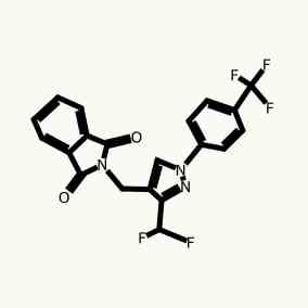 O=C1c2ccccc2C(=O)N1Cc1cn(-c2ccc(C(F)(F)F)cc2)nc1C(F)F